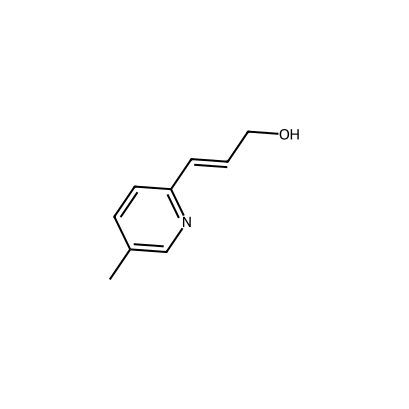 Cc1ccc(/C=C/CO)nc1